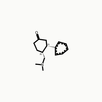 CN(C)C[C@@H]1CCC(=O)C[C@@H]1c1ccccc1